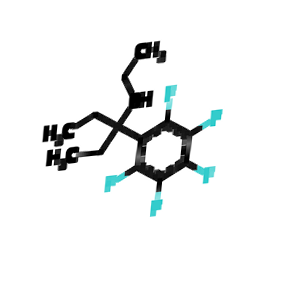 CCBC(CC)(CC)c1c(F)c(F)c(F)c(F)c1F